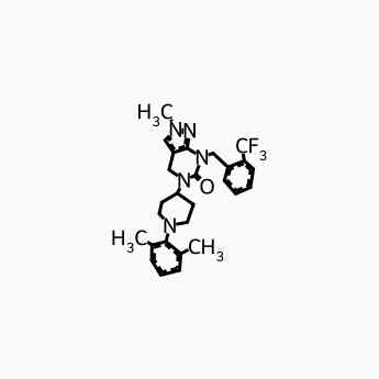 Cc1cccc(C)c1N1CCC(N2Cc3cn(C)nc3N(Cc3ccccc3C(F)(F)F)C2=O)CC1